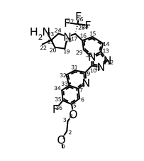 COCCOc1cc2nc(-c3nnc4ccc([C@H](N5CCC(C)(N)C5)C(F)(F)F)cn34)ccc2cc1F